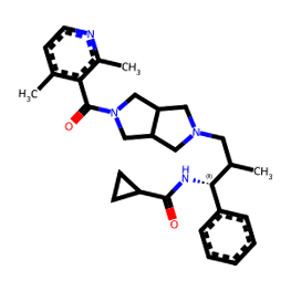 Cc1ccnc(C)c1C(=O)N1CC2CN(CC(C)[C@@H](NC(=O)C3CC3)c3ccccc3)CC2C1